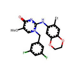 CCc1cc2c(cc1Nc1nc(=O)c(OC)cn1Cc1cc(F)cc(F)c1)OCCO2